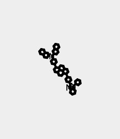 c1ccc(-n2c(-c3ccc(-c4ccc5ccc6c(-c7ccc(N(c8ccc9ccccc9c8)c8ccc9ccccc9c8)cc7)ccc7ccc4c5c76)cc3)nc3ccccc32)cc1